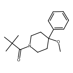 COC1(c2ccccc2)CCN(C(=O)C(C)(C)C)CC1